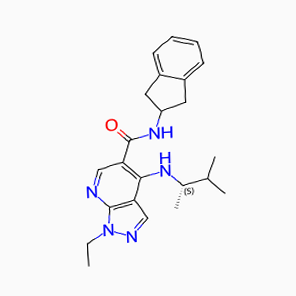 CCn1ncc2c(N[C@@H](C)C(C)C)c(C(=O)NC3Cc4ccccc4C3)cnc21